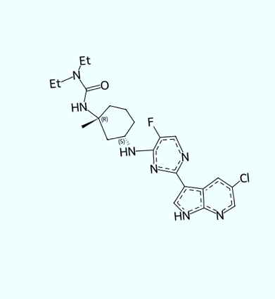 CCN(CC)C(=O)N[C@]1(C)CCC[C@H](Nc2nc(-c3c[nH]c4ncc(Cl)cc34)ncc2F)C1